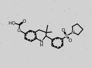 CC1(C)Cc2cc(OC(=O)O)ccc2NC1c1cccc(S(=O)(=O)N2CCCC2)c1